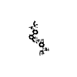 C=CC(=O)Nc1cccc(-c2cccc3cnc(Nc4ccc(NC5CN(C)C5)cc4)nc23)c1